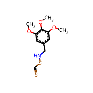 COc1cc(CNSC=S)cc(OC)c1OC